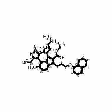 CCOC(=O)c1c(CCCOc2cccc3ccccc23)c2ccc(C)c(-c3c(CBr)nn(C)c3CC)c2n1CCCNC